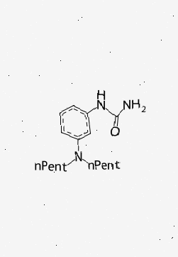 CCCCCN(CCCCC)c1cccc(NC(N)=O)c1